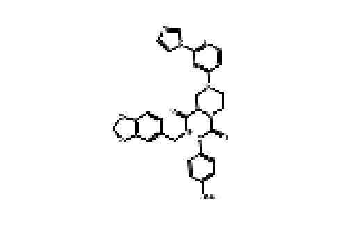 COc1ccc(OC(=O)N2CCN(c3ccnc(-n4ccnc4)n3)CC2C(=O)NCc2ccc3c(c2)OCO3)cc1